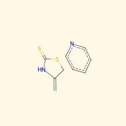 C=C1CSC(=S)N1.c1ccncc1